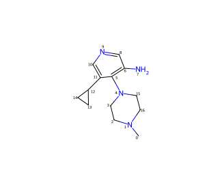 CN1CCN(c2c(N)cncc2C2CC2)CC1